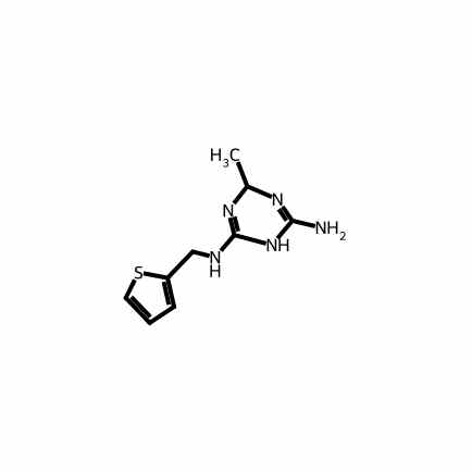 CC1N=C(N)NC(NCc2cccs2)=N1